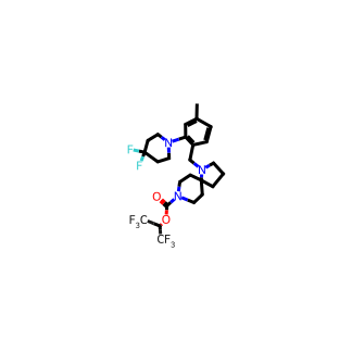 Cc1ccc(CN2CCCC23CCN(C(=O)OC(C(F)(F)F)C(F)(F)F)CC3)c(N2CCC(F)(F)CC2)c1